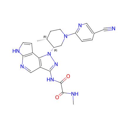 CNC(=O)C(=O)Nc1nn([C@H]2CN(c3ccc(C#N)cn3)CC[C@H]2C)c2c1cnc1[nH]ccc12